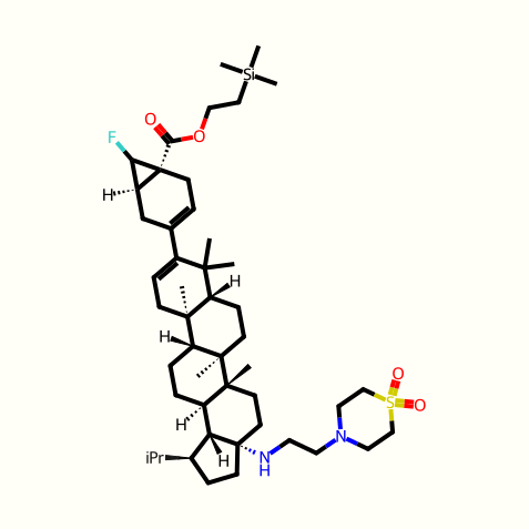 CC(C)[C@@H]1CC[C@]2(NCCN3CCS(=O)(=O)CC3)CC[C@]3(C)[C@H](CC[C@@H]4[C@@]5(C)CC=C(C6=CC[C@]7(C(=O)OCC[Si](C)(C)C)C(F)[C@@H]7C6)C(C)(C)[C@@H]5CC[C@]43C)[C@@H]12